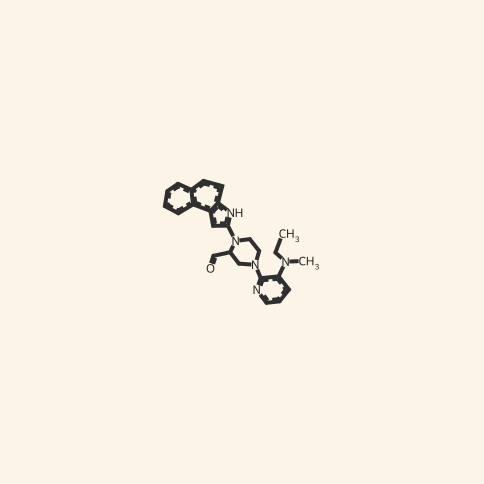 CCN(C)c1cccnc1N1CCN(c2cc3c(ccc4ccccc43)[nH]2)C(C=O)C1